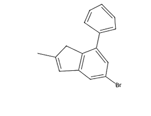 CC1=Cc2cc(Br)cc(-c3ccccc3)c2C1